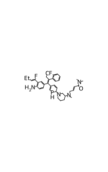 CC/C=C(\F)c1cc(/C(C2=CPC(N3CCCC(N(C)C/C=C/C(=O)N(C)C)C3)C=C2)=C(\CC(F)(F)F)c2ccccc2)ccc1N